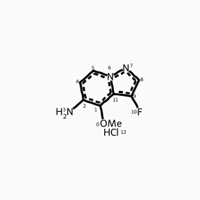 COc1c(N)ccn2ncc(F)c12.Cl